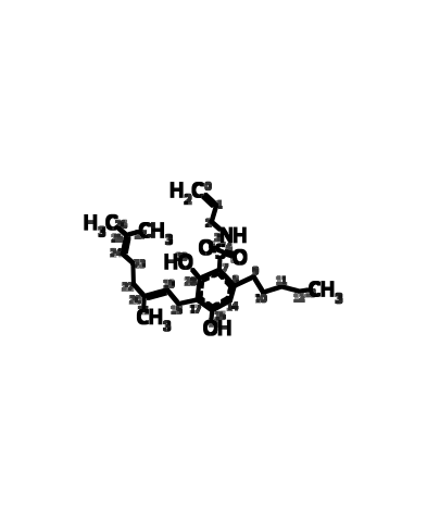 C=CCNS(=O)(=O)c1c(CCCCC)cc(O)c(C/C=C(\C)CCC=C(C)C)c1O